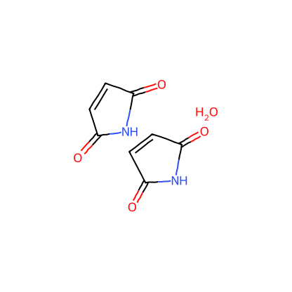 O.O=C1C=CC(=O)N1.O=C1C=CC(=O)N1